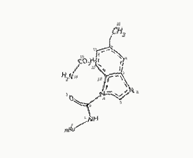 CCCCNC(=O)n1cnc2cc(C)ccc21.NC(=O)O